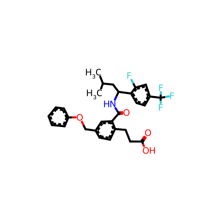 CC(C)CC(NC(=O)c1cc(COc2ccccc2)ccc1CCC(=O)O)c1ccc(C(F)(F)F)cc1F